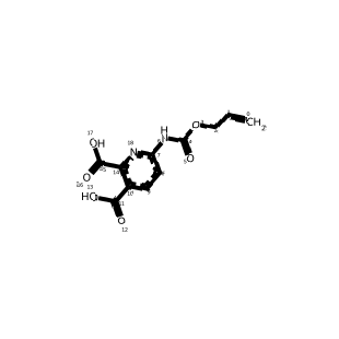 C=CCOC(=O)Nc1ccc(C(=O)O)c(C(=O)O)n1